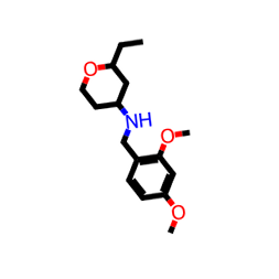 CCC1CC(NCc2ccc(OC)cc2OC)CCO1